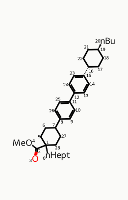 CCCCCCCC1(C(=O)OC)CCC(c2ccc(-c3ccc([C@H]4CC[C@H](CCCC)CC4)cc3)cc2)CC1